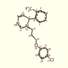 FC(F)(F)c1ccccc1C1N=CN=CN1CCCOc1ccc(Cl)cc1